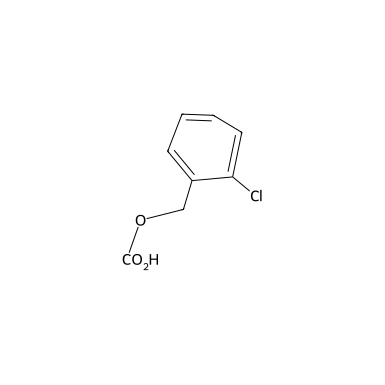 O=C(O)OCc1ccccc1Cl